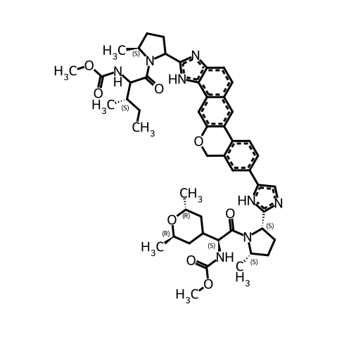 CC[C@H](C)C(NC(=O)OC)C(=O)N1C(c2nc3ccc4cc5c(cc4c3[nH]2)OCc2cc(-c3cnc([C@@H]4CC[C@H](C)N4C(=O)[C@@H](NC(=O)OC)C4C[C@@H](C)O[C@H](C)C4)[nH]3)ccc2-5)CC[C@@H]1C